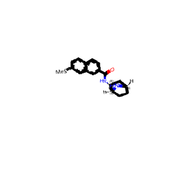 CSc1ccc2ccc(C(=O)N[C@@H]3C[C@H]4CC[C@@H]3N4)cc2c1